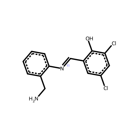 NCc1ccccc1/N=C/c1cc(Cl)cc(Cl)c1O